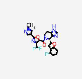 Cn1cc(-c2nc(C(F)F)c(C(=O)N3CCc4[nH]cnc4[C@H]3c3cc4c(F)cccc4o3)o2)cn1